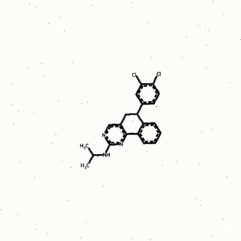 CC(C)Nc1ncc2c(n1)-c1ccccc1C(c1ccc(Cl)c(Cl)c1)C2